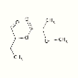 CCC(C=O)OC(=O)C(C)OC